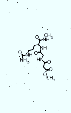 CNC(=O)[C@H](CCCNC(N)=O)NC(=O)CNC(=O)CC(=O)OC